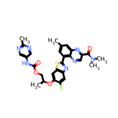 Cc1cc(-c2nc3cc(F)c(OC(C)COC(=O)Nc4cnc(C)nc4)cc3s2)c2ncc(C(=O)N(C)C)nc2c1